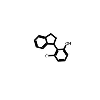 Oc1cc[c]c(Cl)c1C1CCc2ccccc21